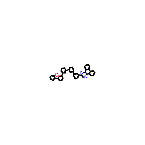 c1cc(-c2cccc(-c3cnc4c5ccccc5c5ccccc5c4n3)c2)cc(-c2cccc(-c3cccc4c3oc3ccccc34)c2)c1